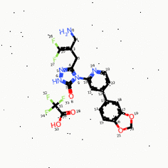 NCC(Cc1n[nH]c(=O)n1-c1cc(-c2ccc3c(c2)OCO3)ccn1)=C(F)F.O=C(O)C(F)(F)F